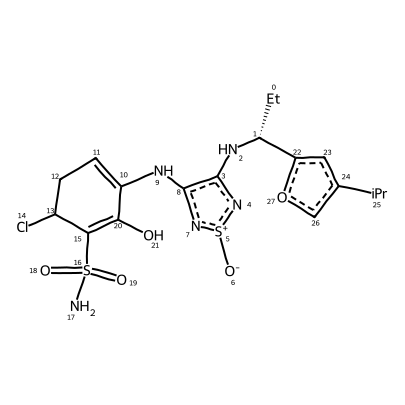 CC[C@@H](Nc1n[s+]([O-])nc1NC1=CCC(Cl)C(S(N)(=O)=O)=C1O)c1cc(C(C)C)co1